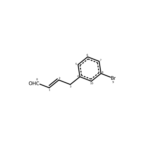 O=CC=CCc1cccc(Br)c1